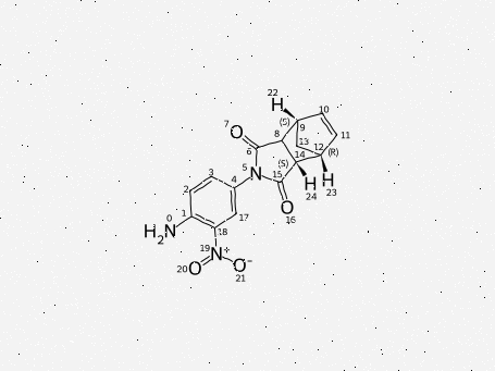 Nc1ccc(N2C(=O)C3[C@@H]4C=C[C@@H](C4)[C@@H]3C2=O)cc1[N+](=O)[O-]